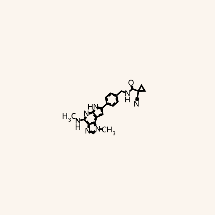 CNc1nc2[nH]c(-c3ccc(CNC(=O)C4(C#N)CC4)cc3)cc2c2c1ncn2C